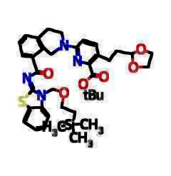 CC(C)(C)OC(=O)c1nc(N2CCc3cccc(C(=O)/N=c4/sc5ccccc5n4COCC[Si](C)(C)C)c3C2)ccc1CCC1OCCO1